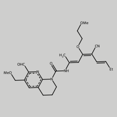 CC/C=C/C(C#N)=C(\C=C(/C)NC(=O)N1CCCc2cc(COC)c(C=O)nc21)OCCOC